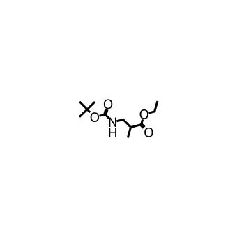 CCOC(=O)C(C)CNC(=O)OC(C)(C)C